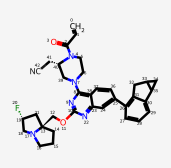 C=CC(=O)N1CCN(c2nc(OC[C@@]34CCCN3C[C@H](F)C4)nc3cc(-c4cccc5c4CC4CC54)ccc23)C[C@@H]1CC#N